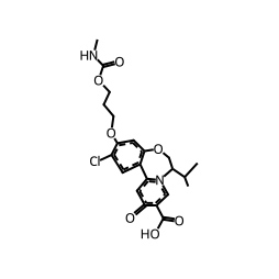 CNC(=O)OCCCOc1cc2c(cc1Cl)-c1cc(=O)c(C(=O)O)cn1C(C(C)C)CO2